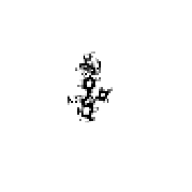 Cc1cnc2c(C#N)c(-c3ccc(S(=O)(=O)N[C@H](C)C(F)(F)F)cc3)n(C3CCC3)c2c1